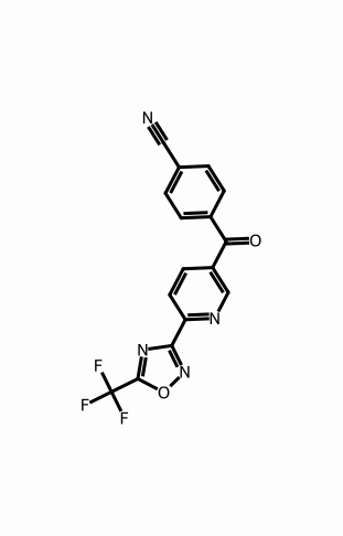 N#Cc1ccc(C(=O)c2ccc(-c3noc(C(F)(F)F)n3)nc2)cc1